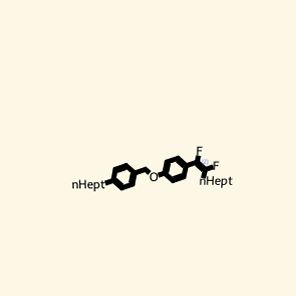 CCCCCCC/C(F)=C(/F)c1ccc(OCc2ccc(CCCCCCC)cc2)cc1